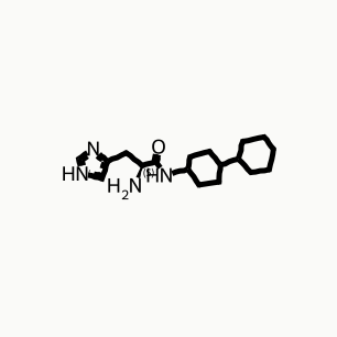 N[C@@H](Cc1c[nH]cn1)C(=O)NC1CCC(C2CCCCC2)CC1